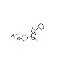 COc1ccc(N(C)c2csc(-c3ccccc3)n2)cc1